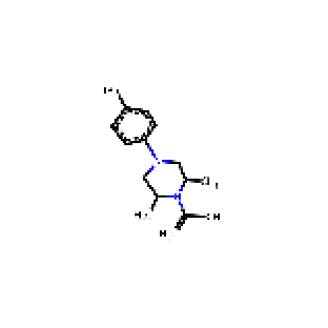 C=C(C)N1C(C)CN(c2ccc(C(C)(C)C)cc2)CC1C